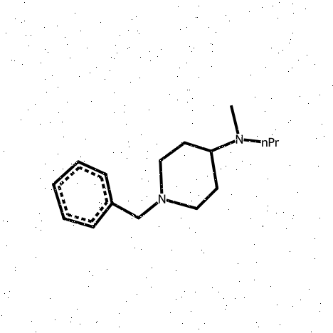 CCCN(C)C1CCN(Cc2ccccc2)CC1